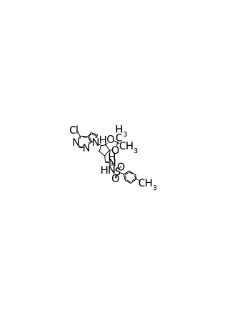 Cc1ccc(S(=O)(=O)N/N=C/C2C[C@@H](n3ccc4c(Cl)ncnc43)[C@@H]3OC(C)(C)O[C@H]23)cc1